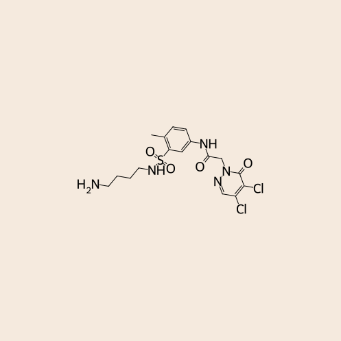 Cc1ccc(NC(=O)Cn2ncc(Cl)c(Cl)c2=O)cc1S(=O)(=O)NCCCCN